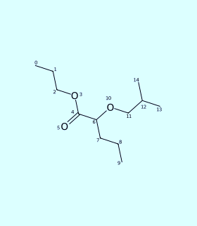 CCCOC(=O)C(CCC)OCC(C)C